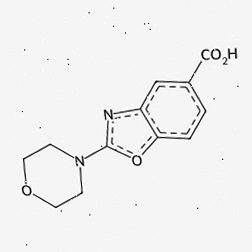 O=C(O)c1ccc2oc(N3CCOCC3)nc2c1